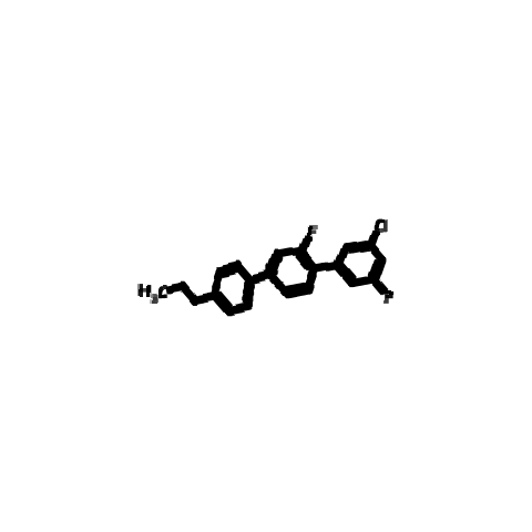 CCCc1ccc(-c2ccc(-c3cc(F)cc(Cl)c3)c(F)c2)cc1